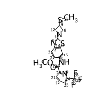 COc1cc2nc(N3CC(SC)C3)sc2cc1NC(=O)c1cccc(C(F)(F)F)n1